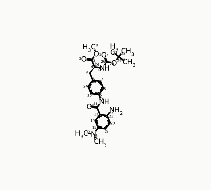 COC(=O)[C@H](Cc1ccc(NC(=O)c2cc(N(C)C)ccc2N)cc1)NC(=O)OC(C)(C)C